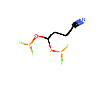 N#CCCC(OP(F)F)OP(F)F